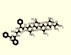 N=C(N)NC(NC(=O)C(NC(=N)N)NC(=O)C(NC(=N)N)NC(=O)C(NC(=N)N)NC(=O)C(NC(=O)C(O)Nc1nc(-c2ccccc2)nc2ccccc12)c1ccccc1)C(=O)NC(N)C(N)=O